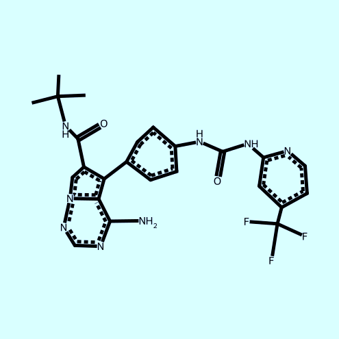 CC(C)(C)NC(=O)c1cn2ncnc(N)c2c1-c1ccc(NC(=O)Nc2cc(C(F)(F)F)ccn2)cc1